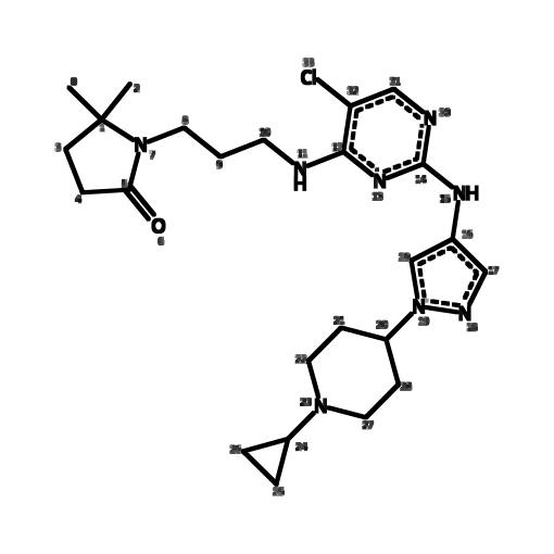 CC1(C)CCC(=O)N1CCCNc1nc(Nc2cnn(C3CCN(C4CC4)CC3)c2)ncc1Cl